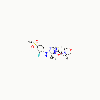 Cc1c(Nc2ccc(S(C)(=O)=O)cc2F)ncnc1OC1C[C@H]2COC[C@@H](C1)N2Cc1nccs1